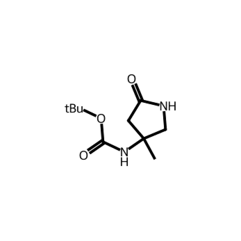 CC1(NC(=O)OC(C)(C)C)CNC(=O)C1